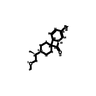 COC[C@H](C)N1CCC2(CC1)C(=O)P1C=C(Br)C=CC12